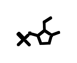 C=P(C)(C)OC1CCN(C)C1CC